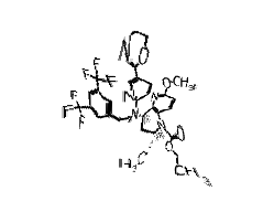 CCOC(=O)N1c2ccc(OC)nc2[C@@H](N(Cc2cc(C(F)(F)F)cc(C(F)(F)F)c2)c2ccc(C3=NCCO3)cn2)C[C@H]1CC